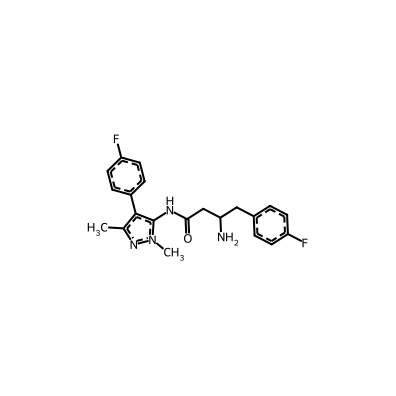 Cc1nn(C)c(NC(=O)CC(N)Cc2ccc(F)cc2)c1-c1ccc(F)cc1